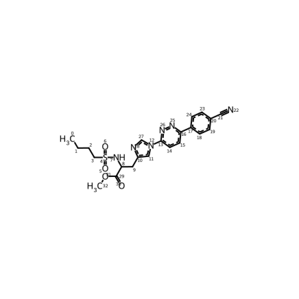 CCCCS(=O)(=O)NC(Cc1cn(-c2ccc(-c3ccc(C#N)cc3)nn2)cn1)C(=O)OC